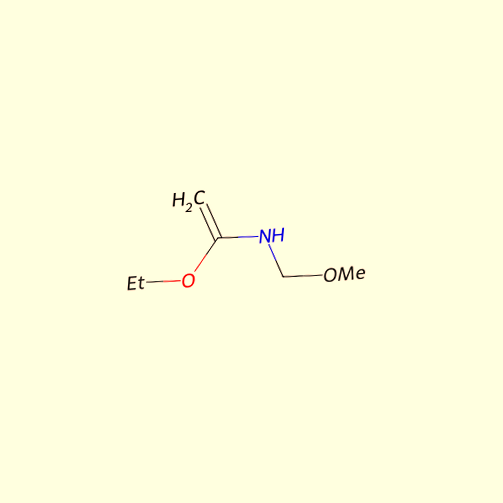 C=C(NCOC)OCC